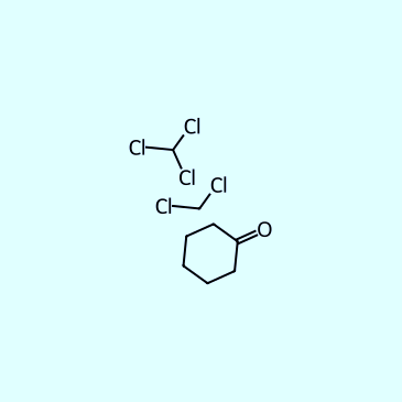 ClC(Cl)Cl.ClCCl.O=C1CCCCC1